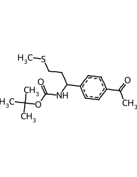 CSCCC(NC(=O)OC(C)(C)C)c1ccc(C(C)=O)cc1